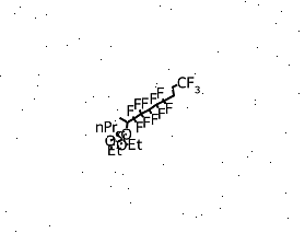 CCC[Si](OCC)(OCC)OC(C)C(F)(F)C(F)(F)C(F)(F)C(F)(F)C(F)(F)CCC(F)(F)F